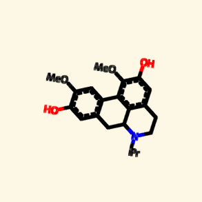 COc1cc2c(cc1O)CC1c3c(cc(O)c(OC)c3-2)CCN1C(C)C